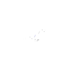 C=N/C(=C\C=C(/C)NC)N1CCOCC1